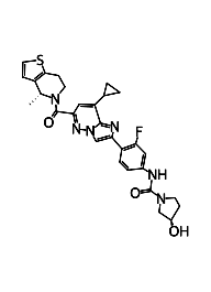 C[C@@H]1c2ccsc2CCN1C(=O)c1cc(C2CC2)c2nc(-c3ccc(NC(=O)N4CC[C@@H](O)C4)cc3F)cn2n1